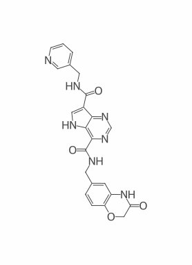 O=C1COc2ccc(CNC(=O)c3ncnc4c(C(=O)NCc5cccnc5)c[nH]c34)cc2N1